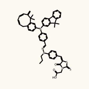 C=C1/C=C\C=C/Cc2ccc(N(c3ccc(/C=N/N(CCC)c4ccc(/C=C5/SC(=S)N(CC(=O)O)C5=O)cc4)cc3)c3ccc4c(c3)C(C)(C)c3ccccc3-4)cc2C1(C)C